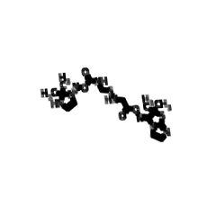 CC1(C)Sc2nccn2C1=NOC(=O)CNSCNC(=O)ON=[N+]1C=CNC1(C)C